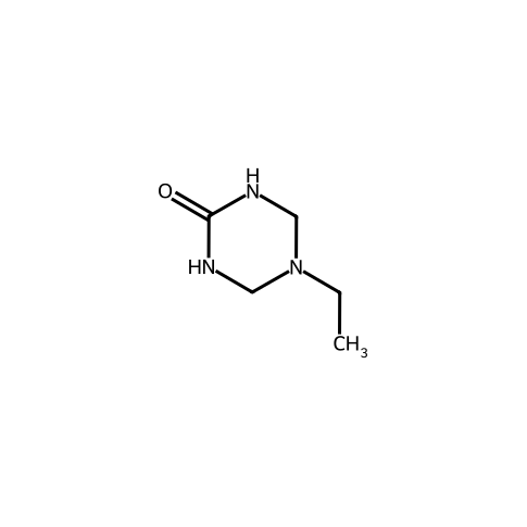 CCN1CNC(=O)NC1